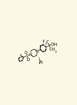 CC(C)C[C@@H]1CN(S(=O)(=O)c2cccs2)CCN1c1ccc(C(C)(O)C(F)(F)F)cc1